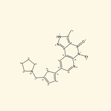 CCn1c(=O)c2c(C)[nH]nc2c2cc(-c3ccc(CN4CCCC4)s3)cnc21